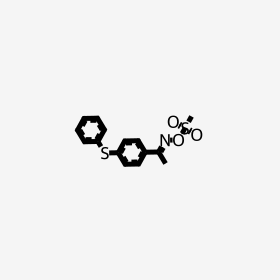 CC(=NOS(C)(=O)=O)c1ccc(Sc2ccccc2)cc1